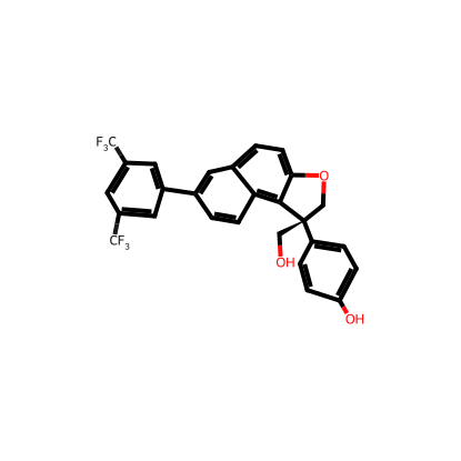 OC[C@]1(c2ccc(O)cc2)COc2ccc3cc(-c4cc(C(F)(F)F)cc(C(F)(F)F)c4)ccc3c21